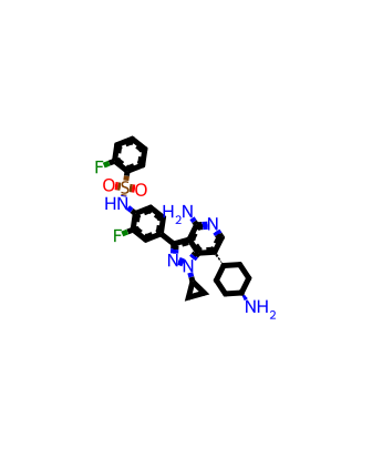 Nc1ncc([C@H]2CC[C@H](N)CC2)c2c1c(-c1ccc(NS(=O)(=O)c3ccccc3F)c(F)c1)nn2C1CC1